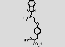 CC(C)SC(Cc1ccc(OCCN(C)c2nc3ccccc3o2)cc1)C(=O)O